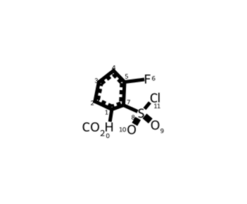 O=C(O)c1cccc(F)c1S(=O)(=O)Cl